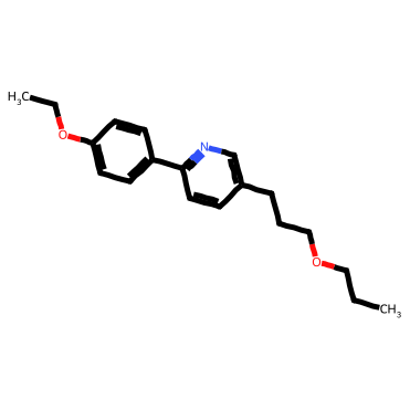 CCCOCCCc1ccc(-c2ccc(OCC)cc2)nc1